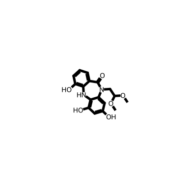 COC(CN1C(=O)c2cccc(O)c2Nc2c(O)cc(O)cc21)OC